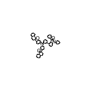 c1ccc(-n2c3cccc(-c4cccc(N(c5ccc6c(c5)oc5c7ccccc7ccc65)c5ccc6c(c5)oc5c7ccccc7ccc65)c4)c3c3c4ccccc4oc32)cc1